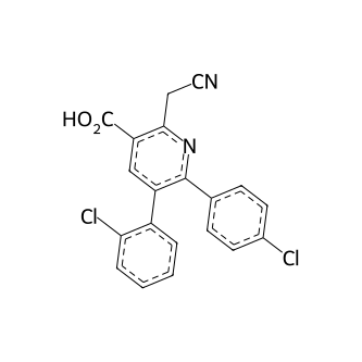 N#CCc1nc(-c2ccc(Cl)cc2)c(-c2ccccc2Cl)cc1C(=O)O